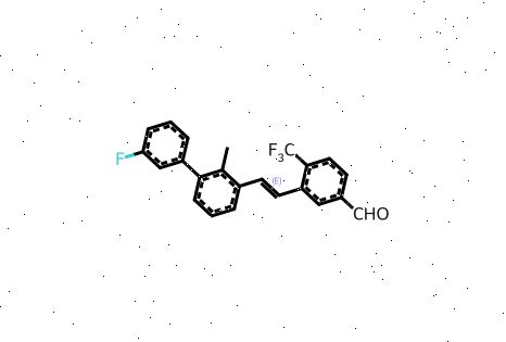 Cc1c(/C=C/c2cc(C=O)ccc2C(F)(F)F)cccc1-c1cccc(F)c1